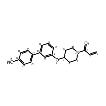 C=CC(=O)N1CCC(Oc2cccc(-c3ccc(C#N)cc3)c2)CC1